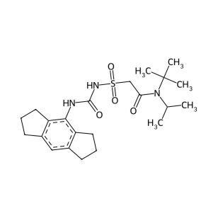 CC(C)N(C(=O)CS(=O)(=O)NC(=O)Nc1c2c(cc3c1CCC3)CCC2)C(C)(C)C